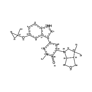 Cn1nc(-c2n[nH]c3ccc(OC4(C)CC4)cc23)cc(N2CC(C)(C)C3COCC32)c1=O